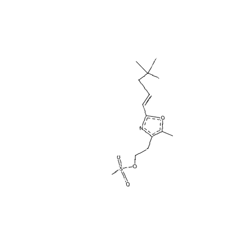 Cc1oc(C=CCC(C)(C)C)nc1CCOS(C)(=O)=O